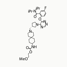 COCCOC(=O)NC1CCC2(CC1)CCN(C[C@@H]1CCN(c3ncnnc3Oc3ccc(F)cc3C(=O)N(C(C)C)C(C)C)C1)CC2